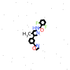 Cc1cc(NC(=O)c2c(F)cccc2F)ncc1-c1cccc(-c2ncco2)c1